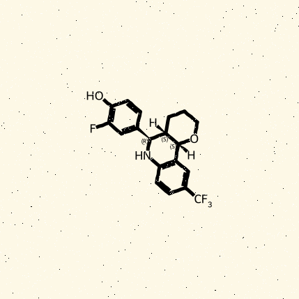 Oc1ccc([C@@H]2Nc3ccc(C(F)(F)F)cc3[C@H]3OCCC[C@H]32)cc1F